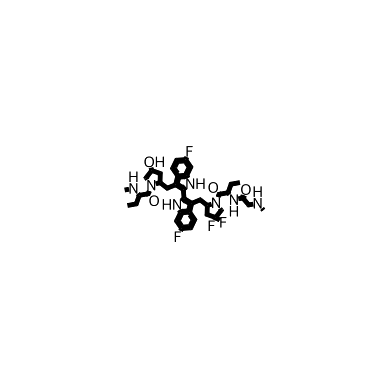 CCC(NC)C(=O)N1CC(O)CC1Cc1c(-c2[nH]c3cc(F)ccc3c2CC2CC(F)(F)CN2C(=O)C(CC)NC(=O)CNC)[nH]c2cc(F)ccc12